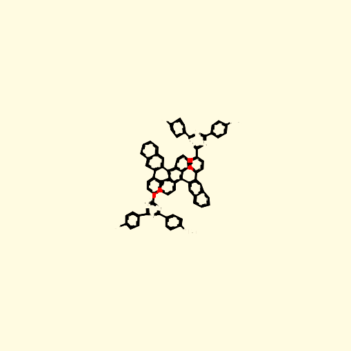 Cc1ccc2c(-c3cc4ccccc4cc3-c3ccc(-c4nc(-c5ccc(C(C)(C)C)cc5)nc(-c5ccc(C(C)(C)C)cc5)n4)cc3)c3ccccc3c(-c3cc4ccccc4cc3-c3ccc(-c4nc(-c5ccc(C(C)(C)C)cc5)nc(-c5ccc(C(C)(C)C)cc5)n4)cc3)c2c1